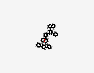 c1ccc(-c2cc(-c3cccc4ccccc34)nc(-c3cccc(-c4ccc(-n5c6ccccc6c6ccc7c8ccccc8n(-c8ccccc8)c7c65)cc4)c3)n2)cc1